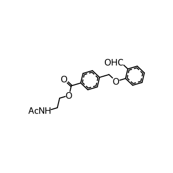 CC(=O)NCCOC(=O)c1ccc(COc2ccccc2C=O)cc1